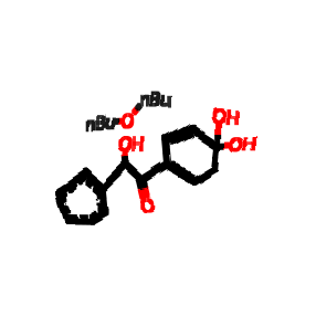 CCCCOCCCC.O=C(C1=CCC(O)(O)C=C1)C(O)c1ccccc1